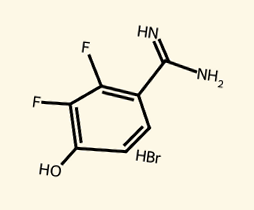 Br.N=C(N)c1ccc(O)c(F)c1F